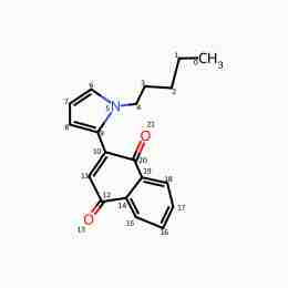 CCCCCn1cccc1C1=CC(=O)c2ccccc2C1=O